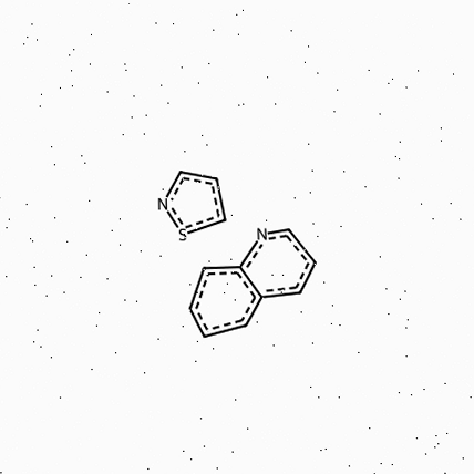 c1ccc2ncccc2c1.c1cnsc1